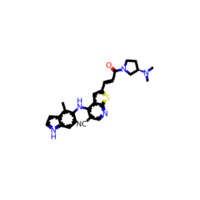 Cc1c(Nc2c(C#N)cnc3sc(C=CC(=O)N4CC[C@@H](N(C)C)C4)cc23)ccc2[nH]ccc12